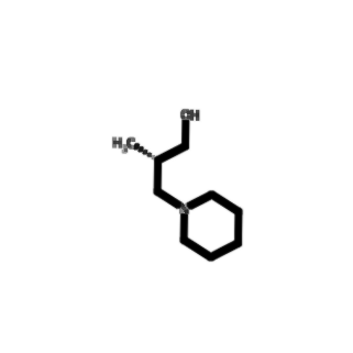 C[C@H](CO)CN1CCCCC1